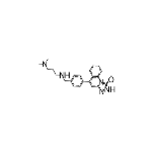 CN(C)CCCNCc1ccc(-c2cc3n[nH]c(=O)n3c3ccccc23)cc1